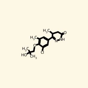 Cc1cc(C2=NNC(=O)CC2C)cc(Cl)c1OCC(C)(C)O